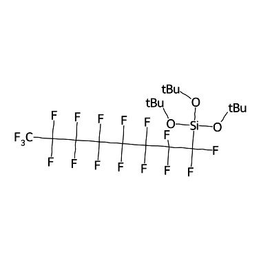 CC(C)(C)O[Si](OC(C)(C)C)(OC(C)(C)C)C(F)(F)C(F)(F)C(F)(F)C(F)(F)C(F)(F)C(F)(F)C(F)(F)C(F)(F)F